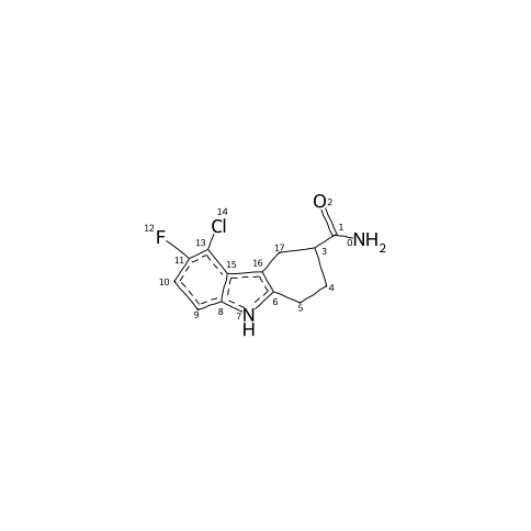 NC(=O)C1CCc2[nH]c3ccc(F)c(Cl)c3c2C1